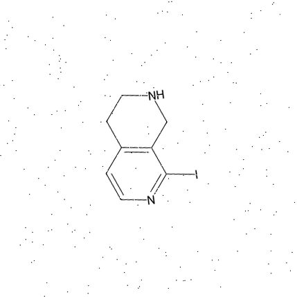 Ic1nccc2c1CNCC2